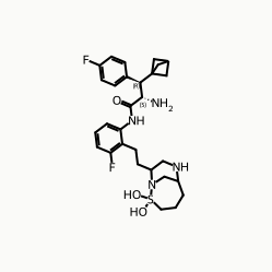 N[C@H](C(=O)Nc1cccc(F)c1CCC1CNC2CCCS(O)(O)N1C2)[C@@H](c1ccc(F)cc1)C12CC(C1)C2